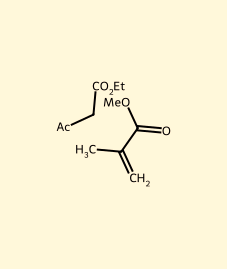 C=C(C)C(=O)OC.CCOC(=O)CC(C)=O